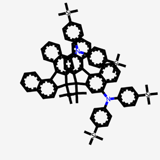 CC(C)(C)C1(C2(C(C)(C)C)c3ccc4ccccc4c3-c3c2cc(N(c2ccc([Si](C)(C)C)cc2)c2ccc([Si](C)(C)C)cc2)c2ccccc32)c2ccc3ccccc3c2-c2c1cc(N(c1ccc([Si](C)(C)C)cc1)c1ccc([Si](C)(C)C)cc1)c1ccccc21